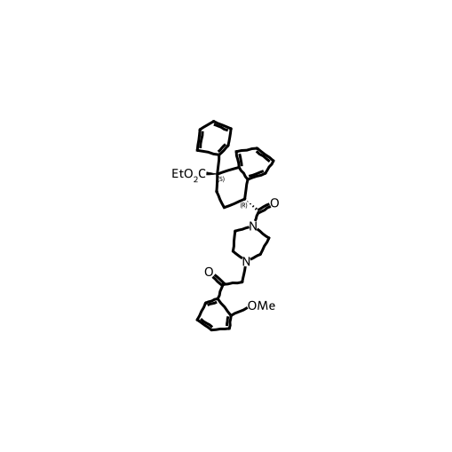 CCOC(=O)[C@]1(c2ccccc2)CC[C@@H](C(=O)N2CCN(CC(=O)c3ccccc3OC)CC2)c2ccccc21